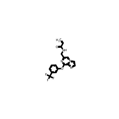 C=CC(=O)NCc1cn2ccnc2c(Oc2cccc(C(F)(F)F)c2)n1